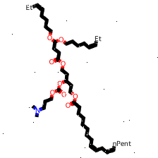 CC/C=C\CCCCOC(CCC(=O)OCCC(CCOC(=O)CCCCCCC/C=C\C/C=C\CCCCC)OC(=O)OCCCN(C)C)OCCCC/C=C\CC